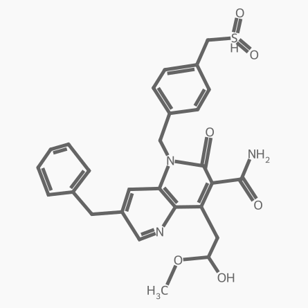 COC(O)Cc1c(C(N)=O)c(=O)n(Cc2ccc(C[SH](=O)=O)cc2)c2cc(Cc3ccccc3)cnc12